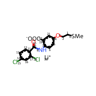 CSCCOc1ccc(NC(=O)c2ccc(Cl)cc2Cl)c(C(=O)[O-])c1.[Li+]